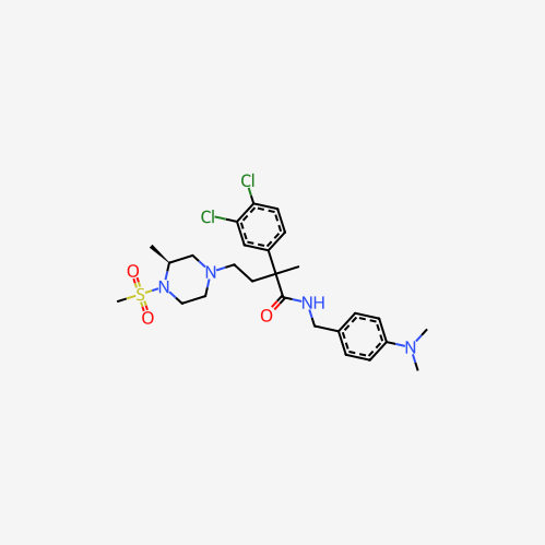 C[C@H]1CN(CCC(C)(C(=O)NCc2ccc(N(C)C)cc2)c2ccc(Cl)c(Cl)c2)CCN1S(C)(=O)=O